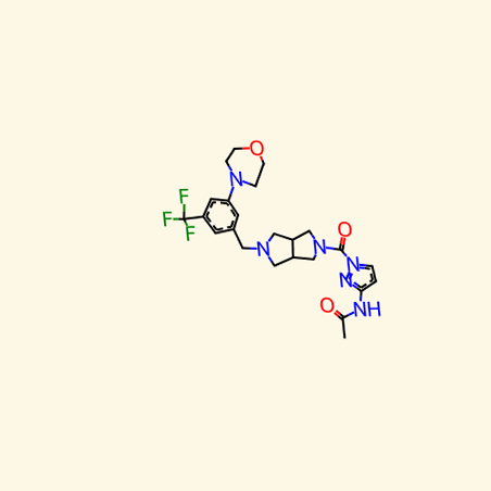 CC(=O)Nc1ccn(C(=O)N2CC3CN(Cc4cc(N5CCOCC5)cc(C(F)(F)F)c4)CC3C2)n1